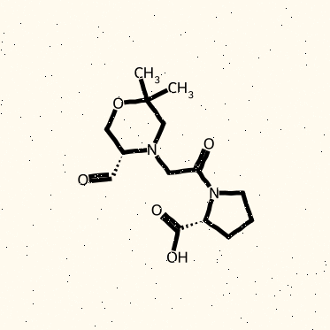 CC1(C)CN(CC(=O)N2CCC[C@@H]2C(=O)O)[C@H](C=O)CO1